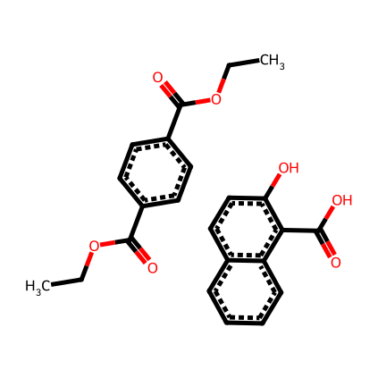 CCOC(=O)c1ccc(C(=O)OCC)cc1.O=C(O)c1c(O)ccc2ccccc12